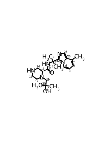 Cc1cccn2c(C(C)(C)NC(=O)[C@@H]3CNCCN3CC(C)(C)O)ncc12